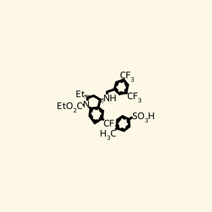 CCOC(=O)N1c2ccc(C(F)(F)F)cc2[C@@H](NCc2cc(C(F)(F)F)cc(C(F)(F)F)c2)C[C@H]1CC.Cc1ccc(S(=O)(=O)O)cc1